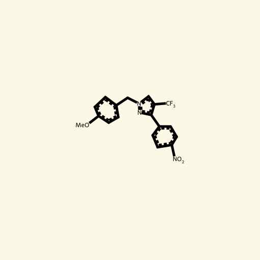 COc1ccc(Cn2cc(C(F)(F)F)c(-c3ccc([N+](=O)[O-])cc3)n2)cc1